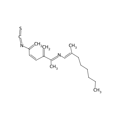 C=C(/C=C\C(=C)/C(C)=N/C=C(\C)CCCCCC)N=C=S